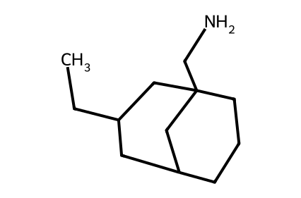 CCC1CC2CCCC(CN)(C1)C2